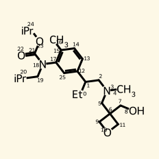 CCC(CN(C)CC1(CO)COC1)c1ccc(C)c(N(CC(C)C)C(=O)OC(C)C)c1